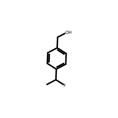 CC(F)c1ccc(CO)cc1